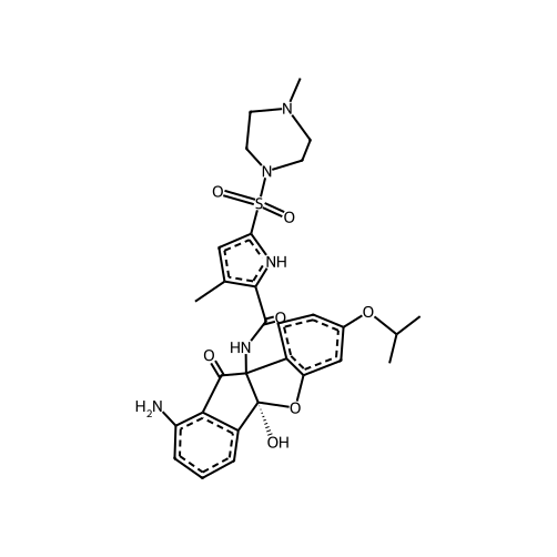 Cc1cc(S(=O)(=O)N2CCN(C)CC2)[nH]c1C(=O)NC12C(=O)c3c(N)cccc3[C@]1(O)Oc1cc(OC(C)C)ccc12